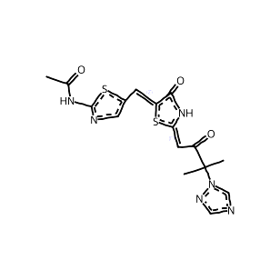 CC(=O)Nc1ncc(/C=c2\s/c(=C/C(=O)C(C)(C)n3cncn3)[nH]c2=O)s1